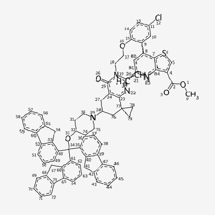 COC(=O)c1csc2c(-c3cc(Cl)ccc3OCCn3c(C)nc4c(c3=O)CC(N3CCC(OC(c5cccc6c5Cc5ccccc5-6)(c5cccc6c5Cc5ccccc5-6)c5cccc6c5Cc5ccccc5-6)CC3)CC43CC3)cc(C)nc12